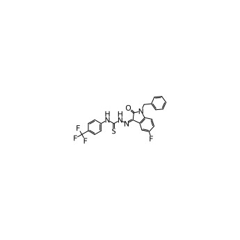 O=C1/C(=N\NC(=S)Nc2ccc(C(F)(F)F)cc2)c2cc(F)ccc2N1Cc1ccccc1